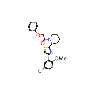 COc1ccc(Cl)cc1-c1csc(C2CCCCN2C(=O)COc2ccccc2)n1